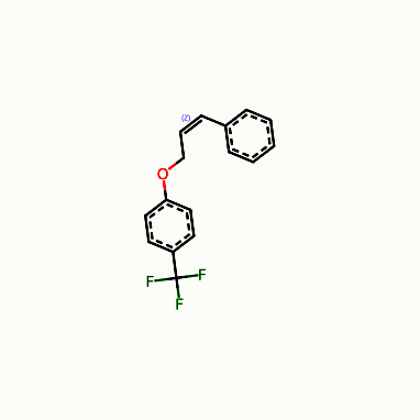 FC(F)(F)c1ccc(OC/C=C\c2ccccc2)cc1